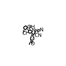 C=CC(=O)N1CCN(c2c(C#N)c(N3CC(N(C)C)C3)nc3c(F)c(-c4c(O)cccc4F)c(Cl)cc23)CC1